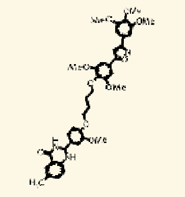 COc1cc(C2NC(=O)c3cc(C)ccc3N2)ccc1OCCCCOc1c(OC)cc(-c2cc(-c3cc(OC)c(OC)c(OC)c3)no2)cc1OC